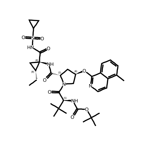 CC[C@@H]1C[C@]1(NC(=O)[C@@H]1C[C@@H](Oc2nccc3c(C)cccc23)CN1C(=O)[C@@H](NC(=O)OC(C)(C)C)C(C)(C)C)C(=O)NS(=O)(=O)C1CC1